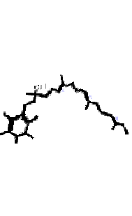 CC/C(C)=C/CC/C(C)=C/CC/C(C)=C/CCC(C)(O)CCC1=C(C)C(C)C(C)C(C)=C1C